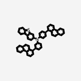 c1cc(-c2cccc3c2ccc2ccccc23)cc(N(c2ccc(-c3cccc4c3ccc3ccccc34)cc2)c2ccc3c(c2)sc2ccccc23)c1